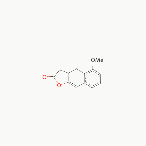 COc1cccc2c1CC1CC(=O)OC1=C2